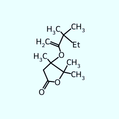 C=C(OC1(C)CC(=O)OC1(C)C)C(C)(C)CC